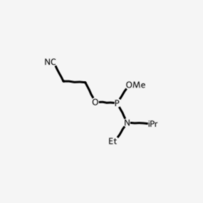 CCN(C(C)C)P(OC)OCCC#N